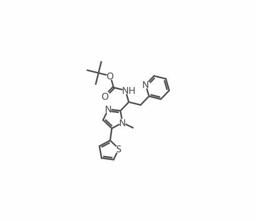 Cn1c(-c2cccs2)cnc1C(Cc1ccccn1)NC(=O)OC(C)(C)C